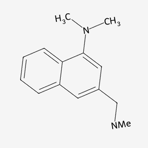 CNCc1cc(N(C)C)c2ccccc2c1